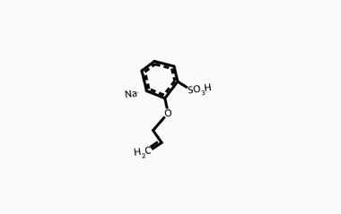 C=CCOc1ccccc1S(=O)(=O)O.[Na]